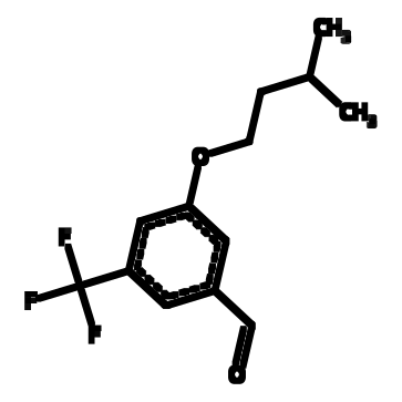 CC(C)CCOc1cc(C=O)cc(C(F)(F)F)c1